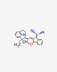 CCC1(C)C(=CC=C2C(=O)c3ccccc3C2=C(C#N)C#N)N2CCc3cccc1c32